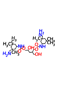 CC1(C)CC(NC(=O)OCC(O)CC(CO)COC(=O)NC2CC(C)(C)CC(C)(CN)C2)CC(C)(CN)C1